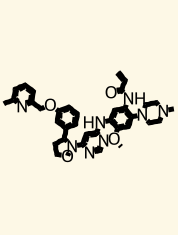 C=CC(=O)Nc1cc(Nc2cc(N3OCCC3c3cccc(OCc4cccc(C)n4)c3)ncn2)c(OC)cc1N1CCN(C)CC1